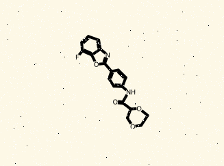 O=C(Nc1ccc(-c2nc3cccc(F)c3o2)cc1)C1COCCO1